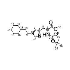 COC(=O)[C@H](Cc1cn(CCC2CCCCC2)cn1)NC(=O)OC(C)(C)C